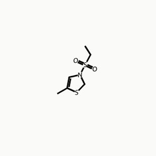 CCS(=O)(=O)N1C=C(C)SC1